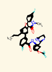 CCCc1cc2oc(-c3ccc(F)cc3)c(C(=O)NC)c2cc1-c1ccc(F)c(C(=O)NC2(c3ncccn3)CC(OC(F)F)C2)c1